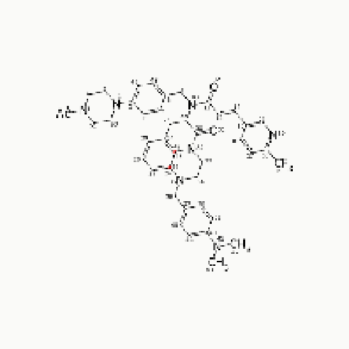 CC(=O)N1CCN(c2ccc(CN(C(=O)C=Cc3ccc(C(F)(F)F)nc3)C(Cc3ccccc3)C(=O)N3CCN(Cc4ccc(N(C)C)cc4)CC3)cc2)CC1